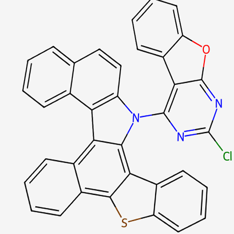 Clc1nc(-n2c3ccc4ccccc4c3c3c4ccccc4c4sc5ccccc5c4c32)c2c(n1)oc1ccccc12